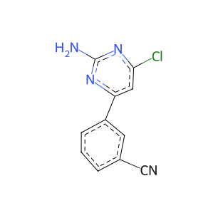 N#Cc1cccc(-c2cc(Cl)nc(N)n2)c1